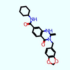 C=C1Nc2cc(C(=O)NC3CCCCC3)ccc2C(=O)N1Cc1ccc2c(c1)OCO2